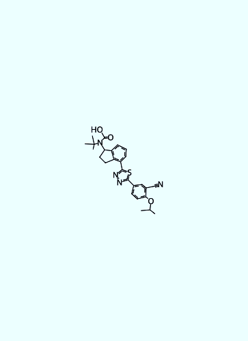 CC(C)Oc1ccc(-c2nnc(-c3cccc4c3CCC4N(C(=O)O)C(C)(C)C)s2)cc1C#N